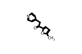 Cc1ccc(C(=O)Cc2ccncc2)o1